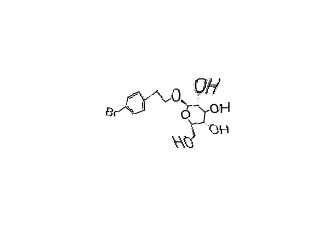 OC[C@H]1O[C@@H](OCCc2ccc(Br)cc2)[C@H](O)[C@@H](O)[C@@H]1O